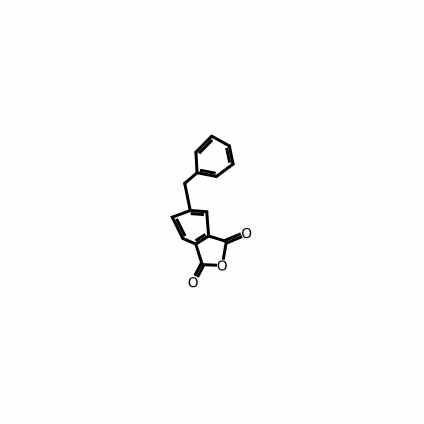 O=C1OC(=O)c2cc(Cc3ccccc3)ccc21